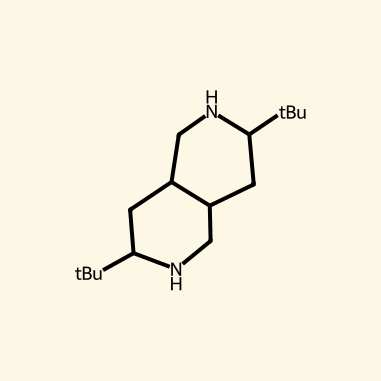 CC(C)(C)C1CC2CNC(C(C)(C)C)CC2CN1